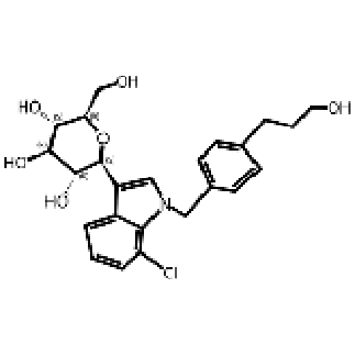 OCCCc1ccc(Cn2cc([C@@H]3O[C@H](CO)[C@@H](O)[C@H](O)[C@H]3O)c3cccc(Cl)c32)cc1